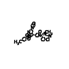 Cc1ccc(S(=O)(=O)n2cc(-c3ccn(C(CN(C)CC#N)c4cccc(Cl)c4)c(=O)c3)c3cc(N4CCOCC4)cnc32)cc1